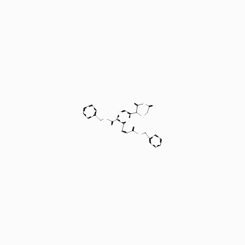 O=C1CNC(c2cnc(C(=O)OCc3ccccc3)c(/C=C\C(=O)OCc3ccccc3)n2)C(=O)N1